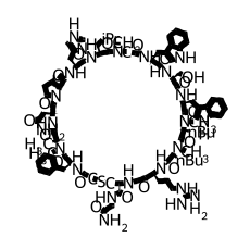 CCCC[C@H]1C(=O)N(C)[C@@H](CCCC)C(=O)N[C@@H](CCCNC(=N)N)C2OC2N[C@H](C(=O)NCC(N)=O)CSCC(=O)N[C@@H](Cc2ccccc2)C(=O)N(C)[C@@H](C)C(=O)N[C@@H](CC(N)=O)C(=O)N2CCC[C@H]2C(=O)N[C@@H](Cc2c[nH]cn2)C(=O)N[C@@H](CC(C)C)C(=O)N(C)CC(=O)N[C@@H](Cc2c[nH]c3ccccc23)C(=O)N[C@@H](CO)C(=O)N[C@@H](Cc2c[nH]c3ccccc23)C(=O)N1C